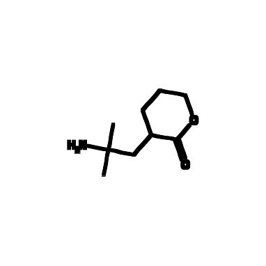 CC(C)(N)CC1CCCOC1=O